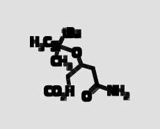 CC(C)(C)[Si](C)(C)OC(CC(N)=O)CC(=O)O